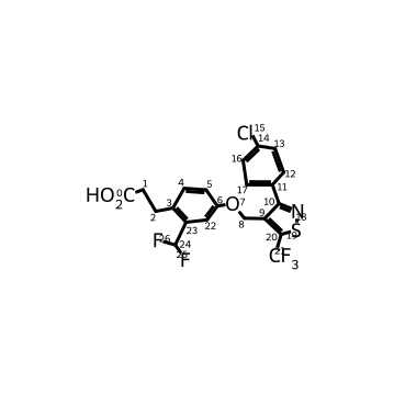 O=C(O)CCc1ccc(OCc2c(-c3ccc(Cl)cc3)nsc2C(F)(F)F)cc1C(F)F